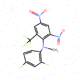 CN(c1ccc(F)cc1F)c1c([N+](=O)[O-])cc([N+](=O)[O-])cc1C(F)(F)F